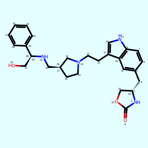 O=C1N[C@@H](Cc2ccc3[nH]cc(CCN4CC[C@@H](CN[C@@H](CO)c5ccccc5)C4)c3c2)CO1